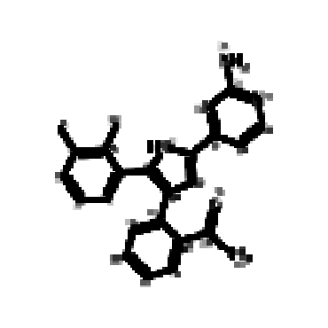 Cc1cccc(-c2[nH]c(-c3ccnc(N)n3)cc2-c2ccccc2C(N)=O)c1C